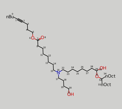 CCCCC#CCCCOC(=O)CCCCCCCN(CCCCO)CCCCCCCC(O)OC(CCCCCCCC)CCCCCCCC